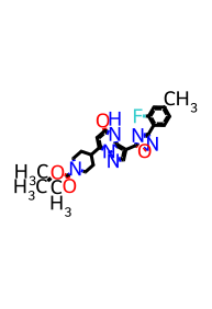 Cc1ccc(-c2noc(-c3cnn4c(C5CCN(C(=O)OC(C)(C)C)CC5)cc(=O)[nH]c34)n2)c(F)c1